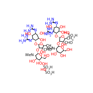 CN[C@@H]1[C@H](O[C@H]2[C@H](O[C@H]3[C@H](O)[C@@H](O)[C@H](N=C(N)N)[C@@H](O)[C@@H]3N=C(N)N)O[C@@H](C)[C@]2(O)C=O)O[C@@H](CO)[C@H](O)[C@H]1O.CN[C@@H]1[C@H](O[C@H]2[C@H](O[C@H]3[C@H](O)[C@@H](O)[C@H](N=C(N)N)[C@@H](O)[C@@H]3N=C(N)N)O[C@@H](C)[C@]2(O)C=O)O[C@@H](CO)[C@H](O)[C@H]1O.O=S(=O)(O)O.O=S(=O)(O)O.O=S(=O)(O)O